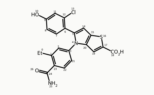 CCc1cc(-n2c(-c3ccc(O)cc3Cl)cc3sc(C(=O)O)cc32)ccc1C(N)=O